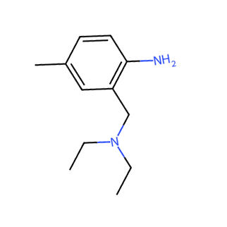 CCN(CC)Cc1cc(C)ccc1N